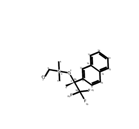 C[C@@](O[Si](C)(C)CCl)(c1ccc2ccccc2c1)C(F)(F)F